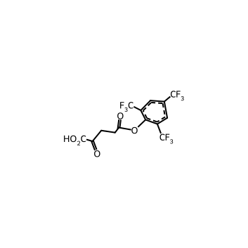 O=C(CCC(=O)C(=O)O)Oc1c(C(F)(F)F)cc(C(F)(F)F)cc1C(F)(F)F